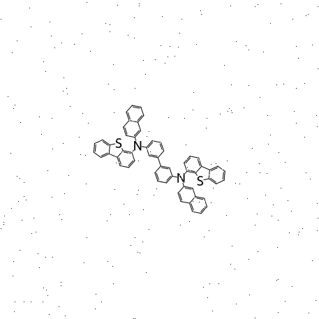 c1cc(-c2cccc(N(c3ccc4ccccc4c3)c3cccc4c3sc3ccccc34)c2)cc(N(c2ccc3ccccc3c2)c2cccc3c2sc2ccccc23)c1